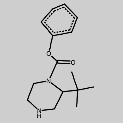 CC(C)(C)C1CNCCN1C(=O)Oc1ccccc1